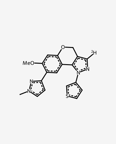 [2H]c1nn(-c2ccsc2)c2c1COc1cc(OC)c(-c3ccn(C)n3)cc1-2